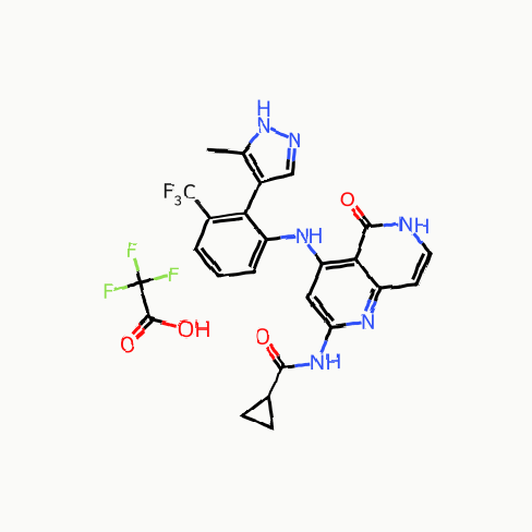 Cc1[nH]ncc1-c1c(Nc2cc(NC(=O)C3CC3)nc3cc[nH]c(=O)c23)cccc1C(F)(F)F.O=C(O)C(F)(F)F